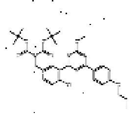 CCCOc1ccc(-c2nc(OC)nc(-c3cc(CN(C(=O)OC(C)(C)C)C(=O)OC(C)(C)C)ccc3Cl)n2)cc1